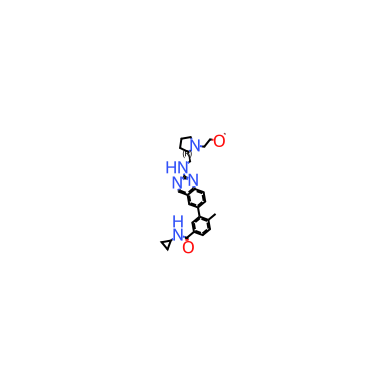 COCCN1CCC[C@@H]1CNc1ncc2cc(-c3cc(C(=O)NC4CC4)ccc3C)ccc2n1